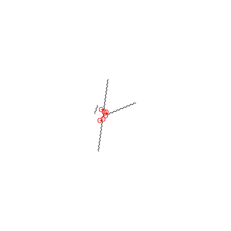 CCCCCC.CCCCCCCCCCCCCCCCCC(=O)OCC(COC(=O)CCCCCCCCCCCCCCCCC)OC(=O)CCCCCCCCCCCCCCCCC